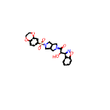 O=C(C(O)c1noc2ccccc12)N1CC2=C(C1)CN(S(=O)(=O)c1ccc3c(c1)OCCO3)C2